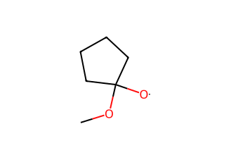 COC1([O])CCCC1